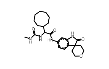 CNC(=O)NC(C(=O)Nc1ccc2c(c1)NC(=O)C21CCOCC1)C1CCCCCCC1